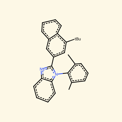 Cc1cccc(C)c1-n1c(-c2cc(C(C)(C)C)c3ccccc3c2)nc2ccccc21